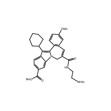 COC(=O)c1ccc2c(C3CCCCC3)c3n(c2c1)CC(C(=O)NCCNC(C)=O)=Cc1cc(OC)ccc1-3